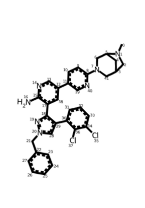 CN1CC2CC1CN(c1ccc(-c3cnc(N)c(-c4nn(Cc5ccccc5)cc4-c4cccc(Cl)c4Cl)c3)cn1)C2